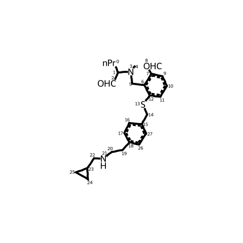 CCCC(C=O)N(C)Cc1c(C=O)cccc1SCc1ccc(CCNCC2CC2)cc1